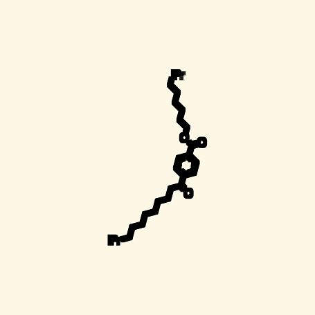 CC(C)CCCCCCCCC(=O)c1ccc(C(=O)OCCCCCCC(C)C)cc1